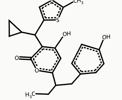 CCC(Cc1ccc(O)cc1)c1cc(O)c(C(c2ccc(C)s2)C2CC2)c(=O)o1